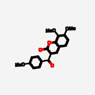 COc1ccc(C(=O)c2cc3ccc(OC)c(OC)c3oc2=O)cc1